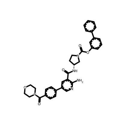 Nc1ncc(-c2ccc(C(=O)N3CCOCC3)cc2)cc1C(=O)N[C@@H]1CCN(C(=O)Oc2cccc(-c3ccccc3)c2)C1